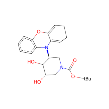 CC(C)(C)OC(=O)N1C[C@H](O)C(O)[C@@H](N2C3=CCCC=C3Oc3ccccc32)C1